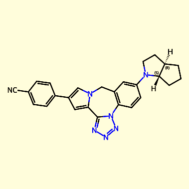 N#Cc1ccc(-c2cc3n(c2)Cc2cc(N4CC[C@H]5CCC[C@@H]54)ccc2-n2nnnc2-3)cc1